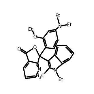 CCOc1cc(N(CC)CC)ccc1C1(c2c(C)n(CC)c3ccccc23)OC(=O)c2cccnc21